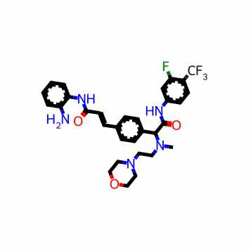 CN(CCN1CCOCC1)C(C(=O)Nc1ccc(C(F)(F)F)c(F)c1)c1ccc(C=CC(=O)Nc2ccccc2N)cc1